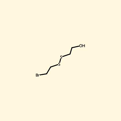 OCCSSCCBr